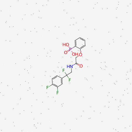 O=C(COc1ccccc1P(=O)(O)O)NCC(F)(F)c1ccc(F)c(F)c1